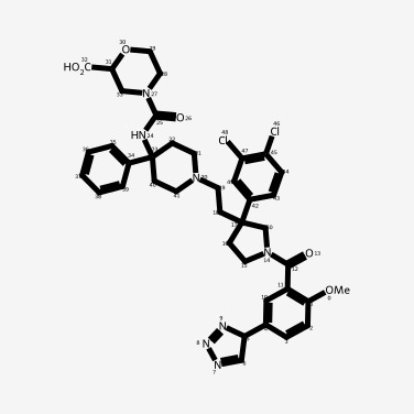 COc1ccc(C2C=NN=N2)cc1C(=O)N1CCC(CCN2CCC(NC(=O)N3CCOC(C(=O)O)C3)(c3ccccc3)CC2)(c2ccc(Cl)c(Cl)c2)C1